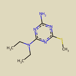 CCN(CC)c1nc(N)nc(SC)n1